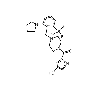 Cc1cnn(C(=O)N2CCN(Cc3c(N4CCCC4)cccc3C(F)(F)F)CC2)c1